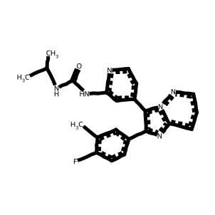 Cc1cc(-c2nc3cccnn3c2-c2ccnc(NC(=O)NC(C)C)c2)ccc1F